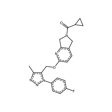 Cc1nnn(-c2ccc(F)cc2)c1COc1ccc2c(n1)CN(C(=O)C1CC1)C2